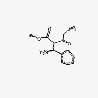 CC(C)(C)OC(=O)C(C(=O)C[N+](=O)[O-])C(N)c1ccccc1